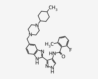 Cc1cccc(F)c1C(=O)Nc1c[nH]nc1-c1nc2cc(CN3CCN(C4CCC(C)CC4)CC3)ccc2[nH]1